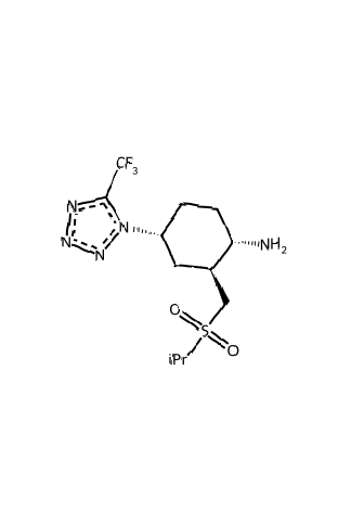 CC(C)S(=O)(=O)C[C@H]1C[C@H](n2nnnc2C(F)(F)F)CC[C@@H]1N